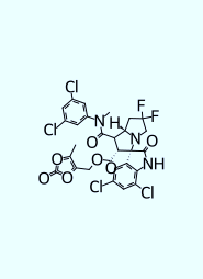 Cc1oc(=O)oc1COC(=O)[C@@H]1C(C(=O)N(C)c2cc(Cl)cc(Cl)c2)[C@@H]2CC(F)(F)CN2[C@@]12C(=O)Nc1c(Cl)cc(Cl)cc12